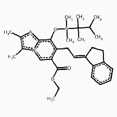 CCOC(=O)c1cn2c(C)c(C)nc2c(O[Si](C)(C)C(C)(C)C(C)C)c1CC=C1CCc2ccccc21